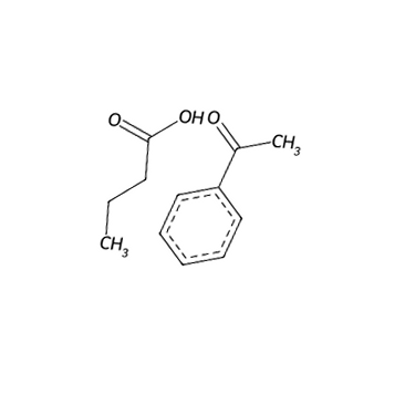 CC(=O)c1ccccc1.CCCC(=O)O